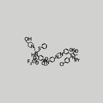 Cc1c(S(C)(=O)=O)c(-c2cccc(N3CCN(c4ccc(N5CCO[P@]5(=O)c5ccc(N[C@H](CCN6CCC(CO)CC6)CSc6ccccc6)c(S(=O)(=O)C(F)(F)F)c5)cc4)CC3)c2)c(-c2ccc(Cl)cc2)n1C(C)C